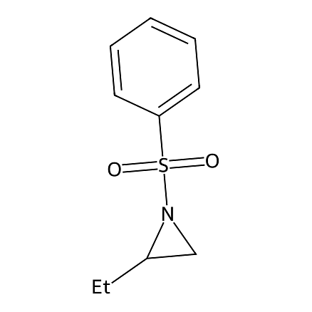 CCC1CN1S(=O)(=O)c1ccccc1